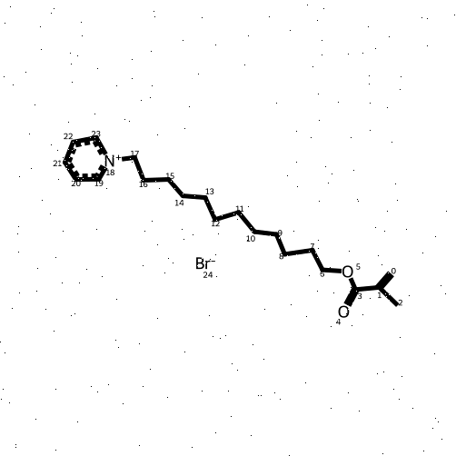 C=C(C)C(=O)OCCCCCCCCCCCC[n+]1ccccc1.[Br-]